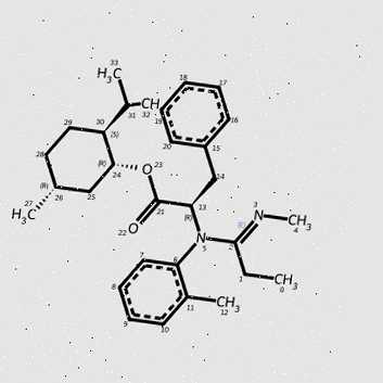 CC/C(=N\C)N(c1ccccc1C)[C@H](Cc1ccccc1)C(=O)O[C@@H]1C[C@H](C)CC[C@H]1C(C)C